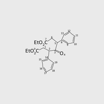 CCOC(=O)CC(C(=O)C(CC(=O)OCC)c1ccccc1)c1ccccc1